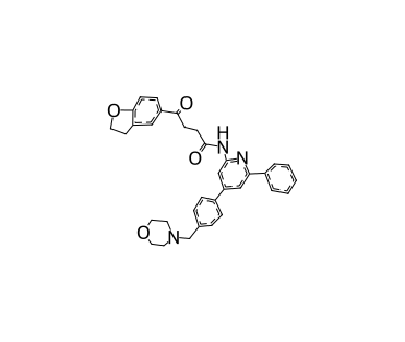 O=C(CCC(=O)c1ccc2c(c1)CCO2)Nc1cc(-c2ccc(CN3CCOCC3)cc2)cc(-c2ccccc2)n1